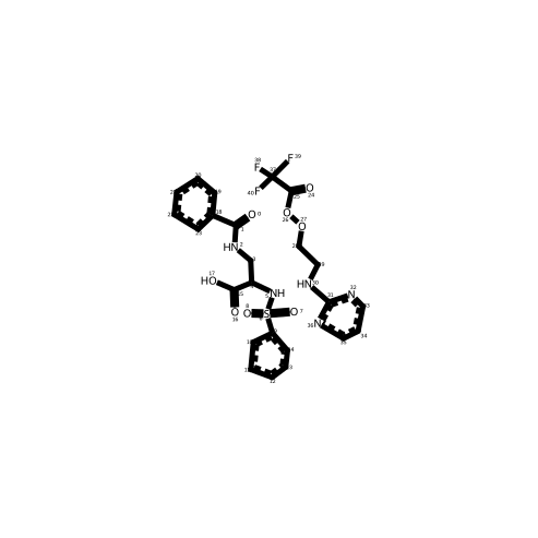 O=C(NCC(NS(=O)(=O)c1ccccc1)C(=O)O)c1ccccc1.O=C(OOCCNc1ncccn1)C(F)(F)F